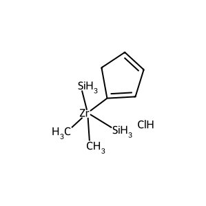 Cl.[CH3][Zr]([CH3])([SiH3])([SiH3])[C]1=CC=CC1